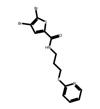 O=C(NCCCSc1ccccn1)c1cc(Br)c(Br)s1